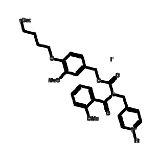 CCCCCCCCCCCCCCOc1ccc(COC(=O)N(Cc2cc[n+](CC)cc2)C(=O)c2ccccc2OC)cc1OC.[I-]